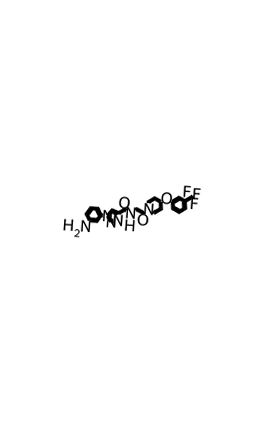 Nc1cccc(-n2cc(C(=O)NCC(=O)N3CCC(Oc4cccc(C(F)(F)F)c4)CC3)nn2)c1